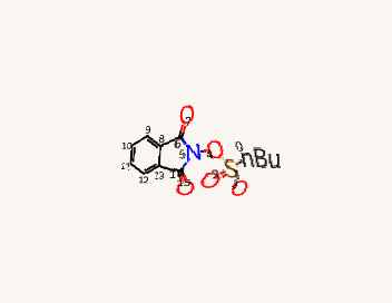 CCCCS(=O)(=O)ON1C(=O)c2ccccc2C1=O